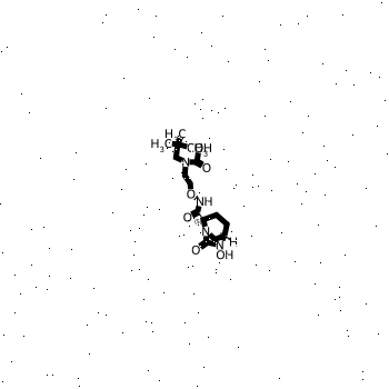 CC(C)(C)CN(CCONC(=O)[C@@H]1CC[C@@H]2CN1C(=O)N2O)C(=O)O